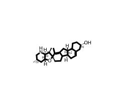 CC1=C2C[C@H]3[C@@H](CC=C4C[C@@H](O)CC[C@@]43C)C2CC[C@]12O[C@@H]1C[C@H](C)CN[C@H]1[C@H]2C